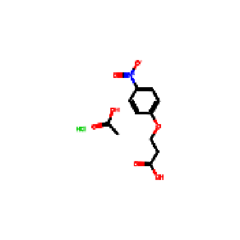 CC(=O)O.Cl.O=C(O)CCOc1ccc([N+](=O)[O-])cc1